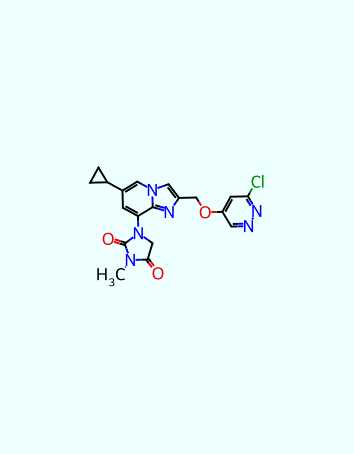 CN1C(=O)CN(c2cc(C3CC3)cn3cc(COc4cnnc(Cl)c4)nc23)C1=O